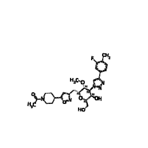 CO[C@@H]1[C@@H](n2cc(-c3ccc(C)c(F)c3)nn2)[C@@H](O)[C@@H](CO)O[C@@H]1Cc1cc(C2CCN(C(C)=O)CC2)on1